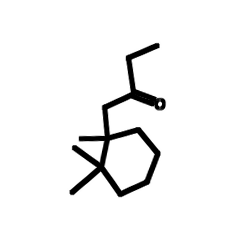 CCC(=O)CC1(C)CCCCC1(C)C